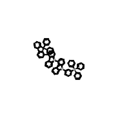 c1ccc(C2(c3ccccc3)c3ccccc3-c3cccc(-c4cccc5c4c4ccccc4n5-c4cccc5c4c4ccccc4n5-c4cccc([Si](c5ccccc5)(c5ccccc5)c5ccccc5)c4)c32)cc1